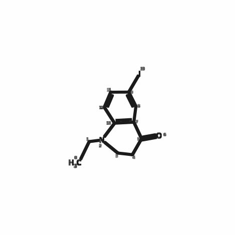 CCN1CCC(=O)c2cc(I)ccc21